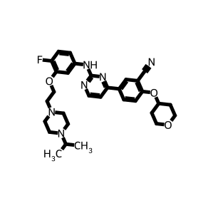 CC(C)N1CCN(CCOc2cc(Nc3nccc(-c4ccc(OC5CCOCC5)c(C#N)c4)n3)ccc2F)CC1